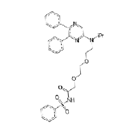 CC(C)N(CCOCCOCC(=O)NS(=O)(=O)c1ccccc1)c1cnc(-c2ccccc2)c(-c2ccccc2)n1